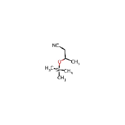 CC(CC#N)O[Si](C)(C)C